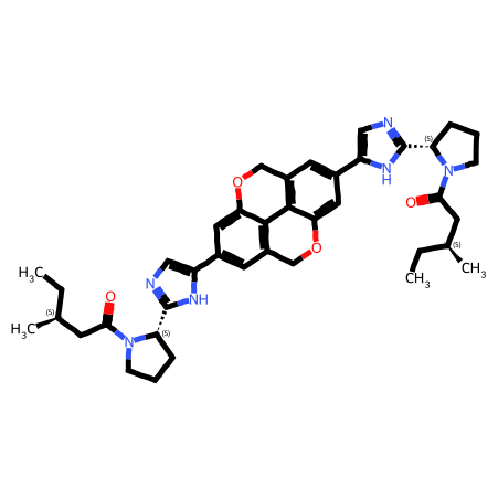 CC[C@H](C)CC(=O)N1CCC[C@H]1c1ncc(-c2cc3c4c(c2)OCc2cc(-c5cnc([C@@H]6CCCN6C(=O)C[C@@H](C)CC)[nH]5)cc(c2-4)OC3)[nH]1